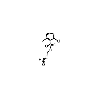 Cc1cccc(Cl)c1S(=O)(=O)OCO[PH2]=O